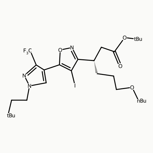 CCCCOCCC[C@@H](CC(=O)OC(C)(C)C)c1noc(-c2cn(CCC(C)(C)C)nc2C(F)(F)F)c1I